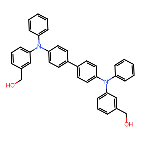 OCc1cccc(N(c2ccccc2)c2ccc(-c3ccc(N(c4ccccc4)c4cccc(CO)c4)cc3)cc2)c1